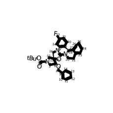 CC(C)(C)OC(=O)N1C[C@H](OCc2ccccc2)[C@]2(CN=C(N3CCc4ccccc4[C@@H]3c3ccc(F)cc3)O2)C1